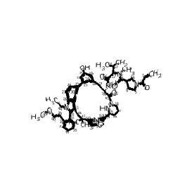 C=CC(=O)N1CCC(C(=O)N(C)C(C(=O)N[C@H]2Cc3cc(O)cc(c3)-c3ccc4c(c3)c(c(-c3ccccc3CCOC)n4CC)CC(C)(C)c3coc(n3)[C@@H]3CCCN(N3)C2=O)C(C)C)C1